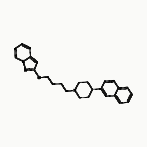 c1ccc2cc(C3CCN(CCCCOc4cc5ccccn5n4)CC3)ccc2c1